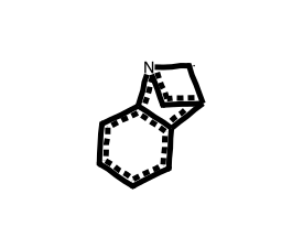 [CH]1c2cn1c1ccccc21